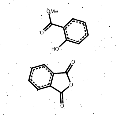 COC(=O)c1ccccc1O.O=C1OC(=O)c2ccccc21